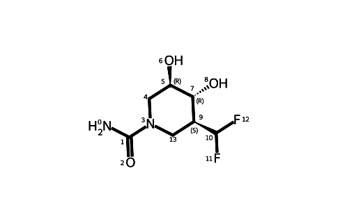 NC(=O)N1C[C@@H](O)[C@H](O)[C@@H](C(F)F)C1